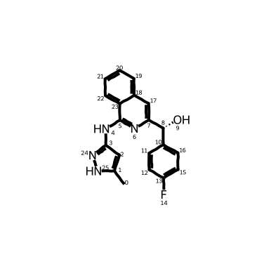 Cc1cc(Nc2nc([C@H](O)c3ccc(F)cc3)cc3ccccc23)n[nH]1